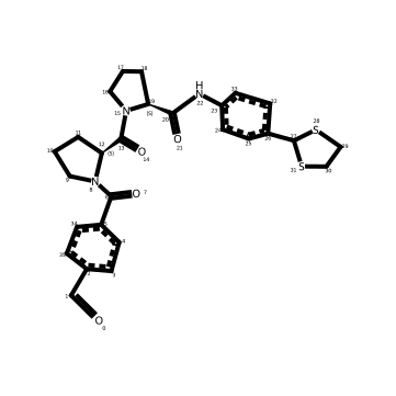 O=Cc1ccc(C(=O)N2CCC[C@H]2C(=O)N2CCC[C@H]2C(=O)Nc2ccc(C3SCCS3)cc2)cc1